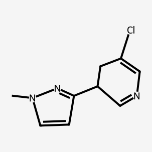 Cn1ccc(C2C=NC=C(Cl)C2)n1